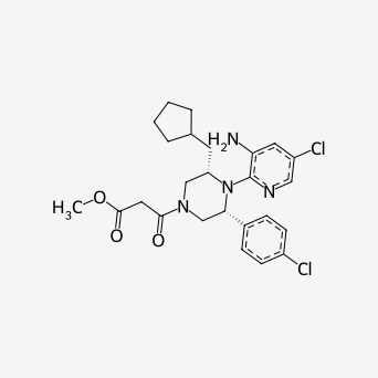 COC(=O)CC(=O)N1C[C@H](CC2CCCC2)N(c2ncc(Cl)cc2N)[C@H](c2ccc(Cl)cc2)C1